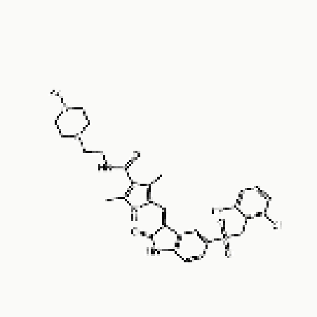 CC(=O)N1CCN(CCNC(=O)c2c(C)[nH]c(/C=C3\C(=O)Nc4ccc(S(=O)(=O)Cc5c(Cl)cccc5Cl)cc43)c2C)CC1